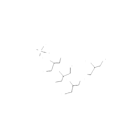 OCC(O)CO.OCC(O)CO.OCC(O)CO.OCC(O)CO.O[Si](O)(O)O